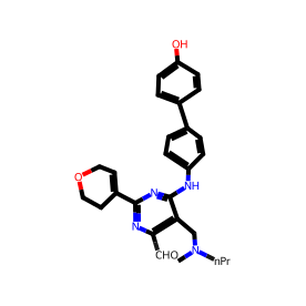 CCCN(C)Cc1c(C=O)nc(C2=CCOCC2)nc1Nc1ccc(-c2ccc(O)cc2)cc1